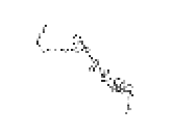 CCCCC/C=C\C/C=C\CCCCCCCCOCC(CN1CCCCC1)OCCCOC(=O)CCC(=O)O[C@H]1CC[C@@]2(C)C(=CC[C@@H]3[C@@H]2CC[C@]2(C)C(C(C)CCCC(C)C)CC[C@@H]32)C1